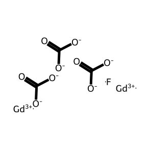 O=C([O-])[O-].O=C([O-])[O-].O=C([O-])[O-].[F].[Gd+3].[Gd+3]